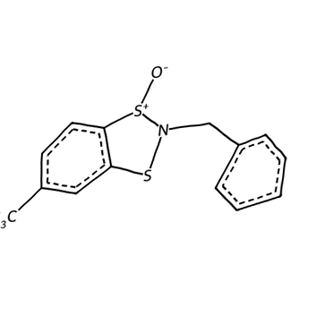 Cc1ccc2c(c1)SN(Cc1ccccc1)[S+]2[O-]